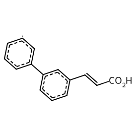 O=C(O)C=Cc1cccc(-c2c[c]ccc2)c1